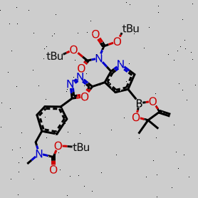 C=C1OB(c2cnc(N(C(=O)OC(C)(C)C)C(=O)OC(C)(C)C)c(-c3nnc(-c4ccc(CN(C)C(=O)OC(C)(C)C)cc4)o3)c2)OC1(C)C